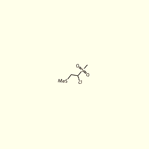 CSCC(Cl)S(C)(=O)=O